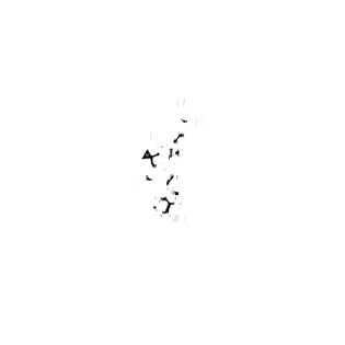 CC(C)OC(=O)C1(CO[P@](=O)(CO[C@H](C)Cn2cnc3c(N)ncnc32)NC(C)(C)C(=O)OC(C)C)CC1